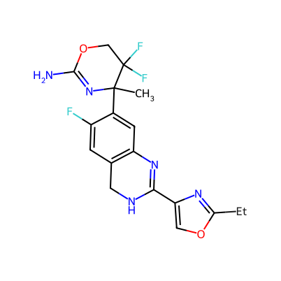 CCc1nc(C2=Nc3cc(C4(C)N=C(N)OCC4(F)F)c(F)cc3CN2)co1